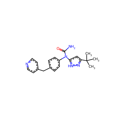 CC(C)(C)c1cc(N(C(N)=O)c2ccc(Cc3ccncc3)cc2)[nH]n1